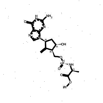 C=C1[C@H](CO[P@@H](=O)N[C@@H](C)C(=O)OC(C)C)[C@@H](O)C[C@@H]1n1cnc2c(=O)[nH]c(N)nc21